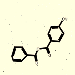 O=C(OC(=O)c1ccc(O)cc1)c1ccccc1